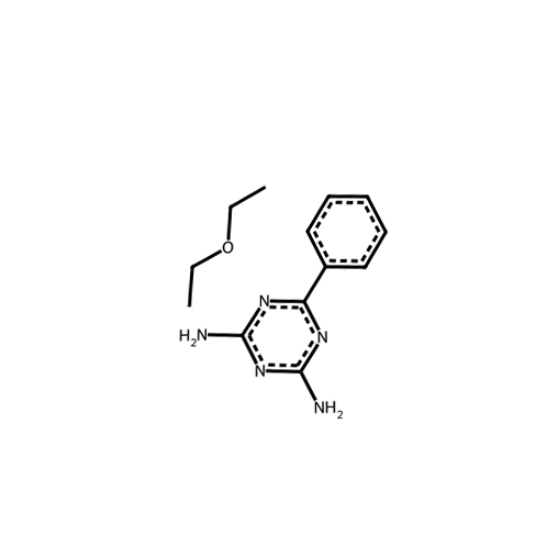 CCOCC.Nc1nc(N)nc(-c2ccccc2)n1